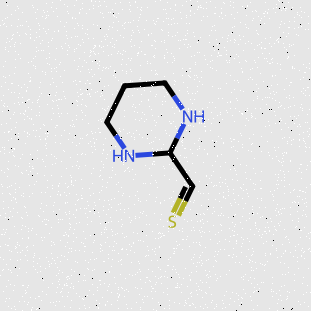 S=CC1NCCCN1